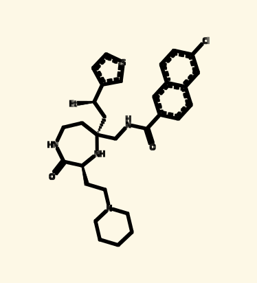 CC[C@H](C[C@@]1(CNC(=O)c2ccc3cc(Cl)ccc3c2)CCNC(=O)[C@H](CCN2CCCCC2)N1)c1ccsc1